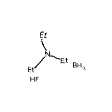 B.CCN(CC)CC.F